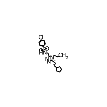 C=CCn1c(CNS(=O)(=O)c2ccc(Cl)cc2)nnc1SCC1CCCC1